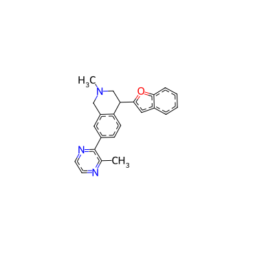 Cc1nccnc1-c1ccc2c(c1)CN(C)CC2c1cc2ccccc2o1